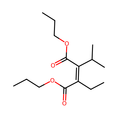 CCCOC(=O)C(CC)=C(C(=O)OCCC)C(C)C